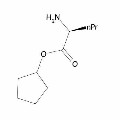 CCC[C@H](N)C(=O)OC1CCCC1